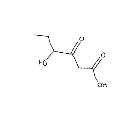 CCC(O)C(=O)CC(=O)O